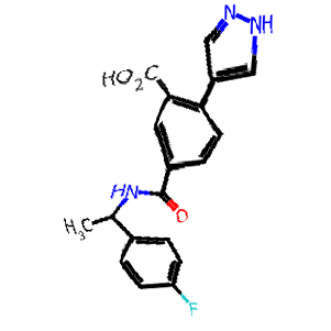 CC(NC(=O)c1ccc(-c2cn[nH]c2)c(C(=O)O)c1)c1ccc(F)cc1